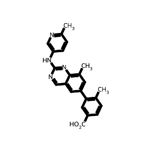 Cc1ccc(Nc2ncc3cc(-c4cc(C(=O)O)ccc4C)cc(C)c3n2)cn1